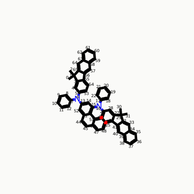 CC1(C)c2cc(N(c3ccccc3)c3cc(N(c4ccccc4)c4ccc5c(c4)C(C)(C)c4cc6ccccc6cc4-5)c4c(ccc5ccccc54)c3)ccc2-c2cc3ccccc3cc21